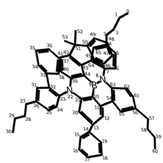 CCCCc1ccc(N2B3c4c(cc(-c5ccccc5)cc4N(c4ccc(CCCC)cc4-c4ccccc4)c4ccc5c(c43)-c3ccccc3C5(C)C)-c3cc(CCCC)ccc32)cc1